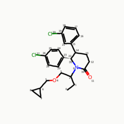 CCC(COCC1CC1)N1C(=O)CCC(c2cccc(Cl)c2)[C@H]1c1ccc(Cl)cc1